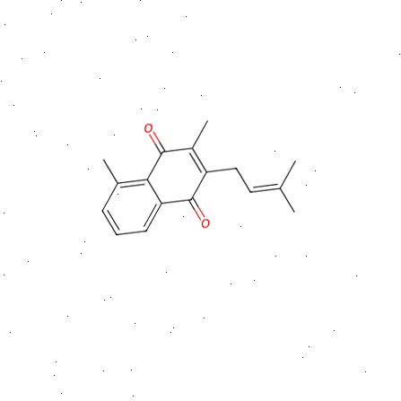 CC(C)=CCC1=C(C)C(=O)c2c(C)cccc2C1=O